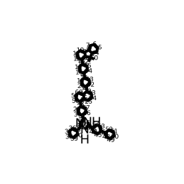 CC1(C)c2ccccc2-c2cccc(-c3ccc(-c4ccc(-c5cccc6c(-c7ccc(C8N=C(c9ccccc9)NC(c9ccc(-c%10ccccc%10)cc9)N8)cc7)cccc56)cc4)cc3)c21